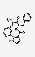 NC(=O)C(=O)C(Cc1ccccc1)NC(=O)c1cc[nH]c1-c1ccccn1